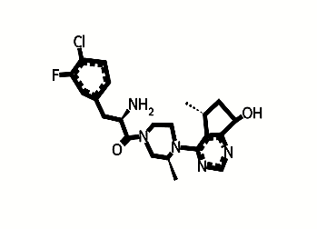 C[C@@H]1CC(O)c2ncnc(N3CCN(C(=O)[C@H](N)Cc4ccc(Cl)c(F)c4)C[C@@H]3C)c21